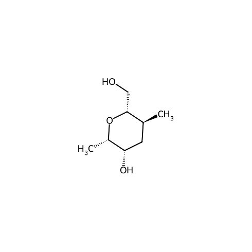 C[C@@H]1O[C@H](CO)[C@@H](C)C[C@@H]1O